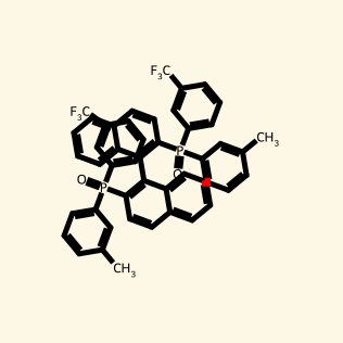 Cc1cccc(P(=O)(c2cccc(C(F)(F)F)c2)c2ccc3ccccc3c2-c2c(P(=O)(c3cccc(C)c3)c3cccc(C(F)(F)F)c3)ccc3ccccc23)c1